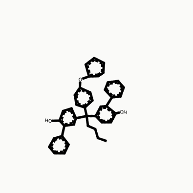 CCCCC(c1ccc(Oc2ccccc2)cc1)(c1ccc(O)c(-c2ccccc2)c1)c1ccc(O)c(-c2ccccc2)c1